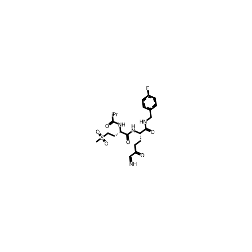 CC(C)C(=O)N[C@@H](CCS(C)(=O)=O)C(=O)N[C@@H](CCC(=O)C=N)C(=O)NCc1ccc(F)cc1